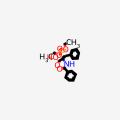 CCOP(=O)(OCC)/C(=C(/NC(=O)c1ccccc1)C(=O)O)c1ccccc1